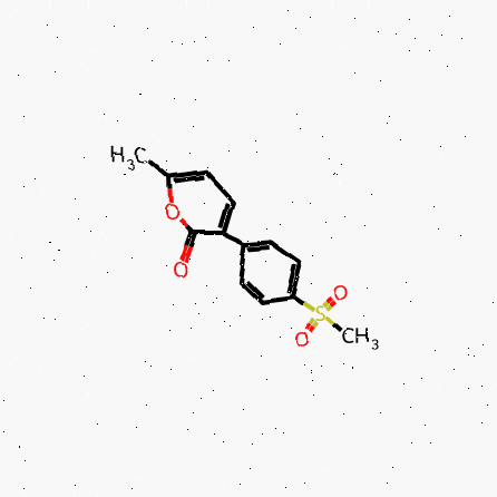 Cc1ccc(-c2ccc(S(C)(=O)=O)cc2)c(=O)o1